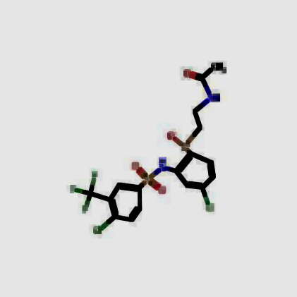 CC(=O)NCC[S+]([O-])c1ccc(Cl)cc1NS(=O)(=O)c1ccc(Cl)c(C(F)(F)F)c1